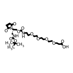 CC(C)(C)OC(=O)NC[C@@H](COC(=O)NCCOCCOCCOCCOCCC(=O)O)N1C(=O)C=CC1=O